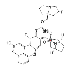 CC(C)(C)OC(=O)N1[C@@H]2CC[C@H]1CN(c1nc(OC[C@@]34CCCN3C[C@H](F)C4)nc3c(F)c(-c4cc(O)cc5cccc(Cl)c45)c(F)cc13)C2